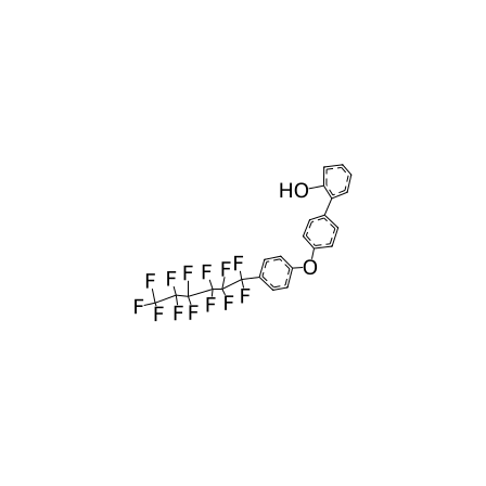 Oc1ccccc1-c1ccc(Oc2ccc(C(F)(F)C(F)(F)C(F)(F)C(F)(F)C(F)(F)C(F)(F)F)cc2)cc1